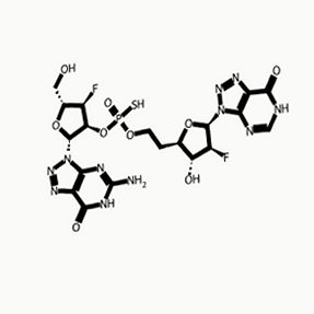 Nc1nc2c(nnn2[C@@H]2O[C@H](CO)[C@@H](F)[C@H]2OP(=O)(S)OCC[C@H]2O[C@@H](n3nnc4c(=O)[nH]cnc43)[C@@H](F)[C@@H]2O)c(=O)[nH]1